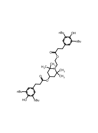 CCCCc1cc(CCC(=O)OCCN2C(C)(C)CC(OC(=O)CCc3cc(CCCC)c(O)c(CCCC)c3)CC2(C)C)cc(CCCC)c1O